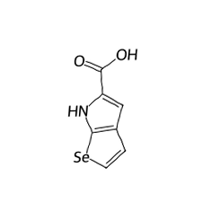 O=C(O)c1cc2cc[se]c2[nH]1